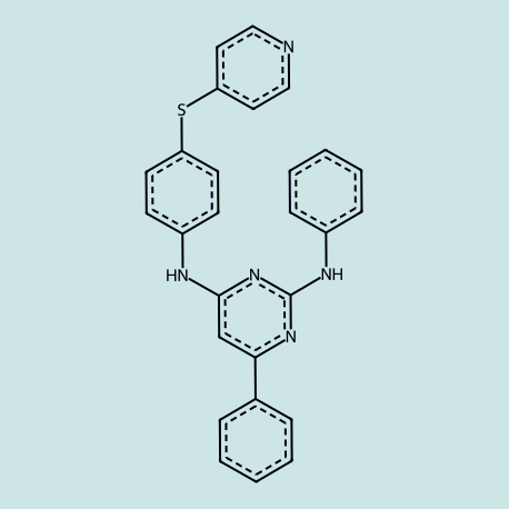 c1ccc(Nc2nc(Nc3ccc(Sc4ccncc4)cc3)cc(-c3ccccc3)n2)cc1